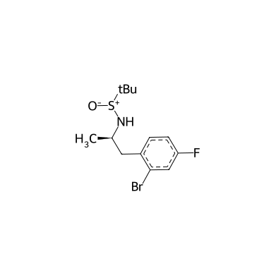 C[C@H](Cc1ccc(F)cc1Br)N[S+]([O-])C(C)(C)C